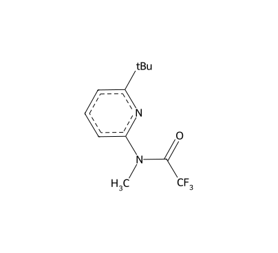 CN(C(=O)C(F)(F)F)c1cccc(C(C)(C)C)n1